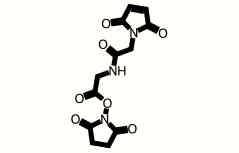 O=C(CN1C(=O)C=CC1=O)NCC(=O)ON1C(=O)CCC1=O